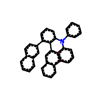 c1ccc(N(c2ccccc2)c2cccc(-c3ccc4ccccc4c3)c2-c2ccc3ccccc3c2)cc1